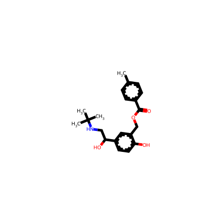 Cc1ccc(C(=O)OCc2cc(C(O)CNC(C)(C)C)ccc2O)cc1